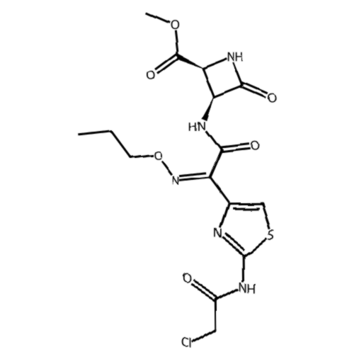 CCCON=C(C(=O)N[C@@H]1C(=O)N[C@@H]1C(=O)OC)c1csc(NC(=O)CCl)n1